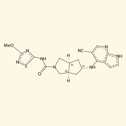 COc1nsc(NC(=O)N2C[C@H]3C[C@H](Nc4c(C#N)cnc5[nH]ccc45)C[C@H]3C2)n1